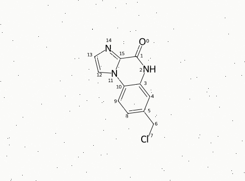 O=c1[nH]c2cc(CCl)ccc2n2ccnc12